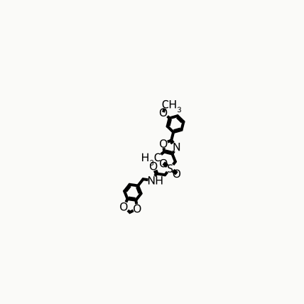 COc1cccc(-c2nc(CS(=O)(=O)CC(=O)NCc3ccc4c(c3)OCO4)c(C)o2)c1